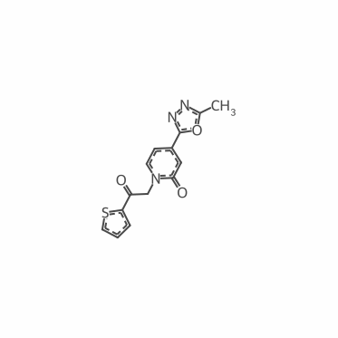 Cc1nnc(-c2ccn(CC(=O)c3cccs3)c(=O)c2)o1